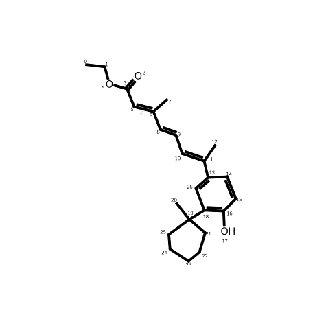 CCOC(=O)/C=C(\C)C=CC=C(C)c1ccc(O)c(C2(C)CCCCC2)c1